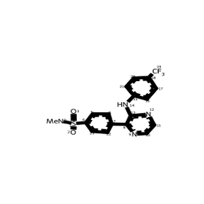 CNS(=O)(=O)c1ccc(-c2nccnc2Nc2ccc(C(F)(F)F)cc2)cc1